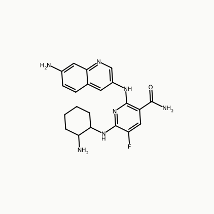 NC(=O)c1cc(F)c(NC2CCCCC2N)nc1Nc1cnc2cc(N)ccc2c1